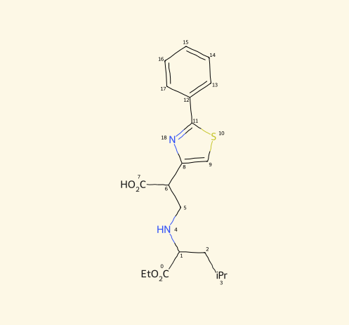 CCOC(=O)C(CC(C)C)NCC(C(=O)O)c1csc(-c2ccccc2)n1